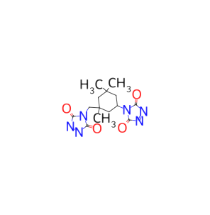 CC1(C)CC(N2C(=O)N=NC2=O)CC(C)(CN2C(=O)N=NC2=O)C1